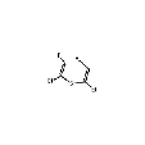 CCC(=CF)SC(=CF)CC